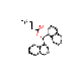 CCCC(=O)OC(c1cccc2ccccc12)c1cccc2ccccc12